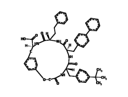 CC(C)(C)c1ccc(C[C@@H]2NC(=O)COc3ccc(cc3)C[C@@H](C(=O)O)NC(=O)[C@H](CCc3ccccc3)NC(=O)[C@@H](Cc3ccc(-c4ccccc4)cc3)NC2=O)cc1